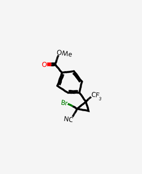 COC(=O)c1ccc(C2(C(F)(F)F)CC2(Br)C#N)cc1